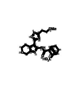 COCCc1noc(-c2c(NC(=O)C3=C(C(=O)O)C4CCC3CC4)sc3c2CCOC3)n1